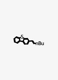 CCCCC=Cc1ccc2c(c1)sc1ccccc12